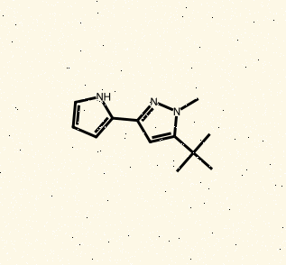 Cn1nc(-c2ccc[nH]2)cc1C(C)(C)C